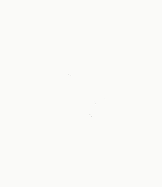 CN(C)N(C(=S)S)c1cn(C)c2ccccc12